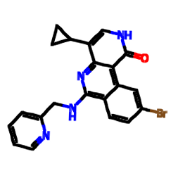 O=c1[nH]cc(C2CC2)c2nc(NCc3ccccn3)c3ccc(Br)cc3c12